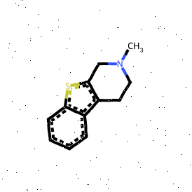 CN1CCc2c(sc3ccccc23)C1